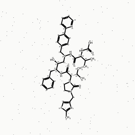 Cc1nc(CN2CCN([C@H](C(=O)N[C@@H](Cc3ccccc3)[C@@H](O)CN(Cc3ccc(-c4ccccn4)cc3)NC(=O)[C@@H](NC(=O)O)C(C)C)C(C)C)C2=O)cs1